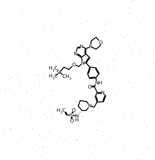 C=CS(=O)(=O)N[C@@H]1CCCN(Cc2ccnc(C(=O)Nc3ccc(-c4cc5c(N6CCOCC6)ncnc5n4COCC[Si](C)(C)C)cc3)c2)C1